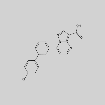 O=C(O)c1cnn2c(-c3cccc(-c4ccc(Cl)cc4)c3)ccnc12